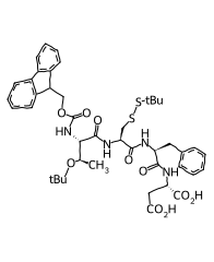 C[C@@H](OC(C)(C)C)[C@H](NC(=O)OCC1c2ccccc2-c2ccccc21)C(=O)N[C@@H](CSSC(C)(C)C)C(=O)N[C@@H](Cc1ccccc1)C(=O)N[C@@H](CC(=O)O)C(=O)O